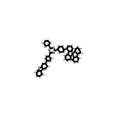 c1ccc(-c2nc(-c3ccc(-c4ccc5c(c4)sc4ccccc45)cc3)nc(-c3ccc(-c4cccc5c4-c4ccccc4C54c5ccccc5-c5ccccc54)cc3)n2)cc1